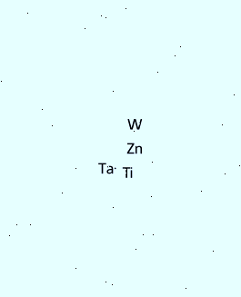 [Ta].[Ti].[W].[Zn]